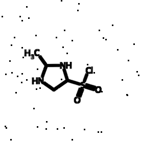 CC1NCC(S(=O)(=O)Cl)N1